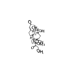 C[C@]12C=CC(=O)C=C1CC[C@@H]1[C@@H]2[C@@H](O)CC[C@@]2(C)[C@H]1CC[C@]2(O)C(=O)CO